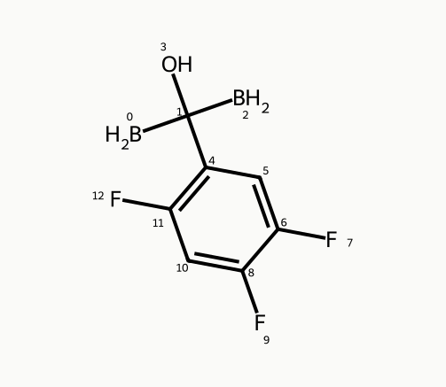 BC(B)(O)c1cc(F)c(F)cc1F